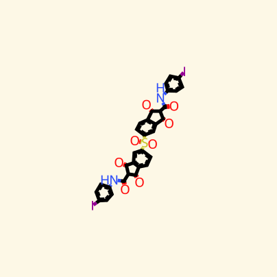 O=C(Nc1ccc(I)cc1)C1C(=O)c2ccc(S(=O)(=O)c3ccc4c(c3)C(=O)C(C(=O)Nc3ccc(I)cc3)C4=O)cc2C1=O